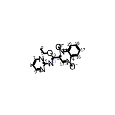 CCO/C(=N\c1ncccn1)c1c[n+]([O-])c2ccccc2[n+]1[O-]